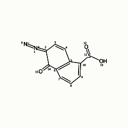 [N-]=[N+]=C1C=Cc2c(cccc2S(=O)O)C1=O